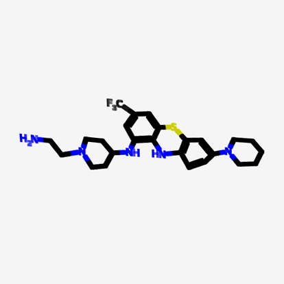 NCCN1CCC(Nc2cc(C(F)(F)F)cc3c2Nc2ccc(N4CCCCC4)cc2S3)CC1